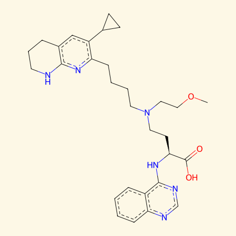 COCCN(CCCCc1nc2c(cc1C1CC1)CCCN2)CC[C@H](Nc1ncnc2ccccc12)C(=O)O